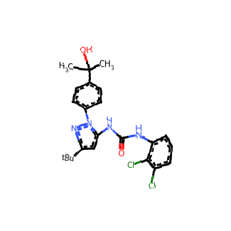 CC(C)(C)c1cc(NC(=O)Nc2cccc(Cl)c2Cl)n(-c2ccc(C(C)(C)O)cc2)n1